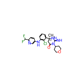 C[C@@]1(c2cccc(Nc3ccc(C(F)F)nc3)c2Cl)CC(=O)N(C2CCOCC2)C(=N)N1